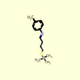 Cc1ccc(N=CCCCS[Si](C)(C)C)cc1